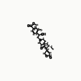 CC[C@H]1CC2(CCN(C[C@H](O)c3ccc4c(c3C)COC4=O)CC2)C(=O)N1C1=CC(=O)OC1